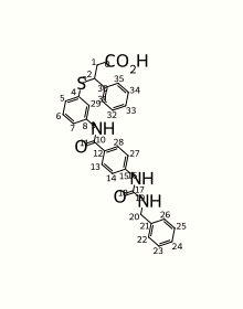 O=C(O)CC(Sc1cccc(NC(=O)c2ccc(NC(=O)NCc3ccccc3)cc2)c1)c1ccccc1